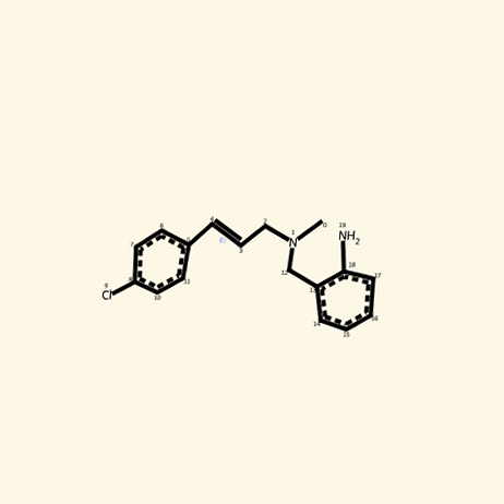 CN(C/C=C/c1ccc(Cl)cc1)Cc1ccccc1N